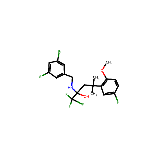 COc1ccc(F)cc1C(C)(C)CC(O)(NCc1cc(Br)cc(Br)c1)C(F)(F)F